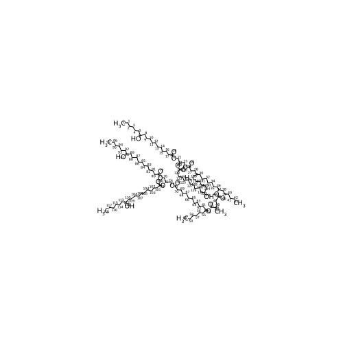 CCCCCCC(O)CCCCCCCCCCC(=O)OCC(COC(=O)CCCCCCCCCCC(CCCCCC)OC(=O)CCC(C)C(=O)OC(CCCCCC)CCCCCCCCCCC(=O)OCC(COC(=O)CCCCCCCCCCC(O)CCCCCC)OC(=O)CCCCCCCCCCC(O)CCCCCC)OC(=O)CCCCCCCCCCC(O)CCCCCC